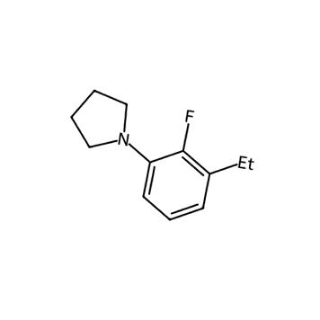 CCc1cccc(N2CCCC2)c1F